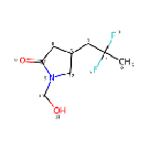 CC(F)(F)CC1CC(=O)N(CO)C1